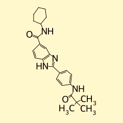 CC(C)(C)C(=O)Nc1ccc(-c2nc3cc(C(=O)NC4CCCCC4)ccc3[nH]2)cc1